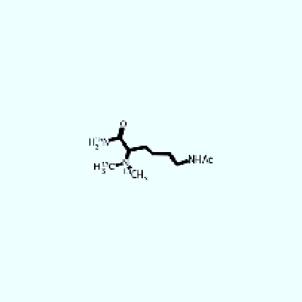 CC(=O)NCCCCC(C([15NH2])=O)N([13CH3])[13CH3]